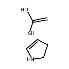 C1=CNCC1.OC(=S)S